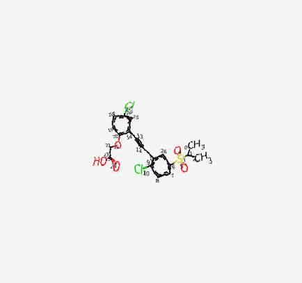 CC(C)S(=O)(=O)c1ccc(Cl)c(C#Cc2cc(Cl)ccc2OCC(=O)O)c1